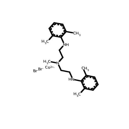 Cc1cccc(C)c1NCCN(C)CCNc1c(C)cccc1C.[Br-].[Br-].[Co+2]